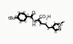 Cn1cc(CC/C=C(/NC(=O)c2ccc(C(C)(C)C)cc2)C(=O)O)cn1